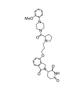 COc1ccccc1N1CCN(C(=O)C2CCCN2CCCOc2cccc3c2CN(C2CCC(=O)NC2=O)C3=O)CC1